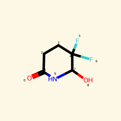 O=C1CCC(F)(F)C(O)N1